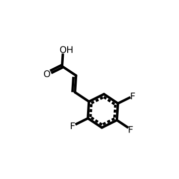 O=C(O)/C=C/c1cc(F)c(F)cc1F